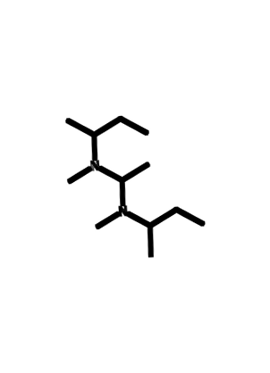 CCC(C)N(C)C(C)N(C)C(C)CC